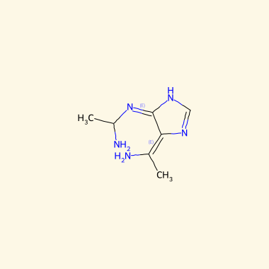 C/C(N)=C1\N=CN\C1=N\C(C)N